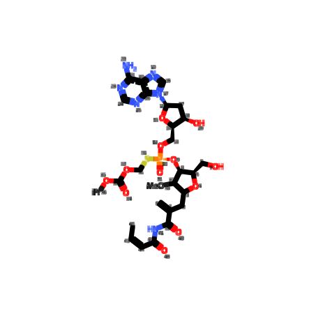 C=C(CC1O[C@H](CO)[C@H](O[P@@](=O)(OC[C@H]2O[C@@H](n3cnc4c(N)ncnc43)C[C@H]2O)SCOC(=O)OC(C)C)C1OC)C(=O)NC(=O)/C=C\C